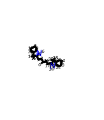 CC(/C=C/C1N(C)c2ccccc2C1(C)C)=C\C=C1\N(C)c2ccccc2C1(C)C